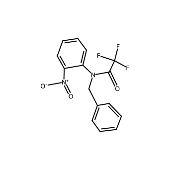 O=C(N(Cc1ccccc1)c1ccccc1[N+](=O)[O-])C(F)(F)F